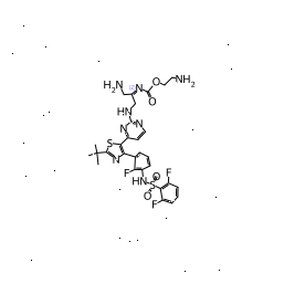 CC(C)(C)c1nc(-c2cccc(NS(=O)(=O)c3c(F)cccc3F)c2F)c(-c2ccnc(NC/C(CN)=N\C(=O)OCCN)n2)s1